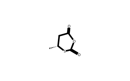 C[C@@H]1CC(=O)OC(=O)S1